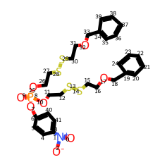 O=[N+]([O-])c1ccc(OP(=O)(OCCSSCCOCc2ccccc2)OCCSSCCOCc2ccccc2)cc1